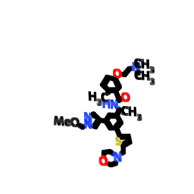 COCn1cc(-c2cc(-c3ccc(CN4CCOCC4)s3)cc([C@@H](C)NC(=O)c3cc(OCCN(C)C)ccc3C)c2)cn1